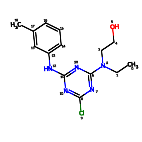 CCN(CCO)c1nc(Cl)nc(Nc2cccc(C)c2)n1